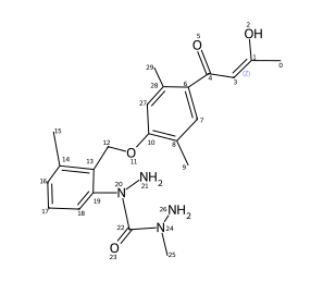 C/C(O)=C/C(=O)c1cc(C)c(OCc2c(C)cccc2N(N)C(=O)N(C)N)cc1C